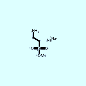 COS(=O)(=O)CCN.[Na].[Na]